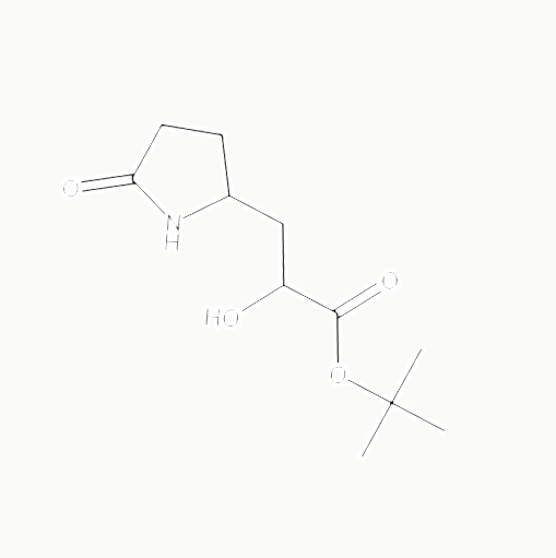 CC(C)(C)OC(=O)C(O)CC1CCC(=O)N1